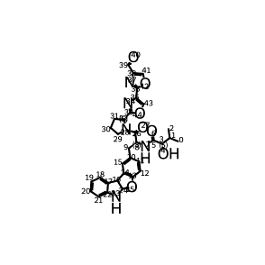 CC(C)[C@H](O)C(=O)N[C@@H](Cc1ccc2c(c1)C1c3ccccc3NC1O2)C(=O)N1CCC[C@H]1c1nc(-c2nc(C=O)co2)co1